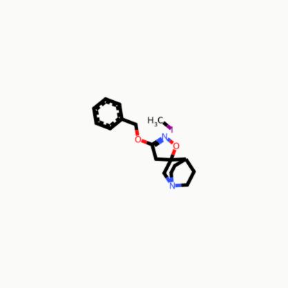 CI.c1ccc(COC2=NOC3(C2)CN2CCC3CC2)cc1